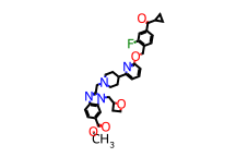 COC(=O)c1ccc2nc(CN3CCC(c4cccc(OCc5ccc(C(=O)C6CC6)cc5F)n4)CC3)n(CC3CCO3)c2c1